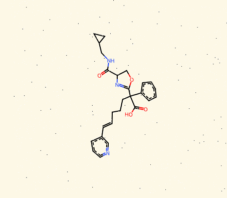 O=C(NCC1CC1)C1COC(C(CCCC=Cc2cccnc2)(C(=O)O)c2ccccc2)=N1